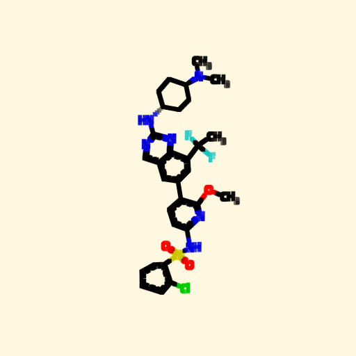 COc1nc(NS(=O)(=O)c2ccccc2Cl)ccc1-c1cc(C(C)(F)F)c2nc(N[C@H]3CC[C@H](N(C)C)CC3)ncc2c1